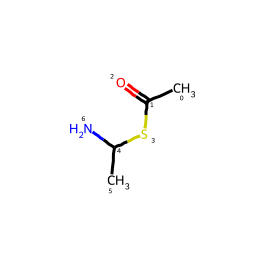 CC(=O)SC(C)N